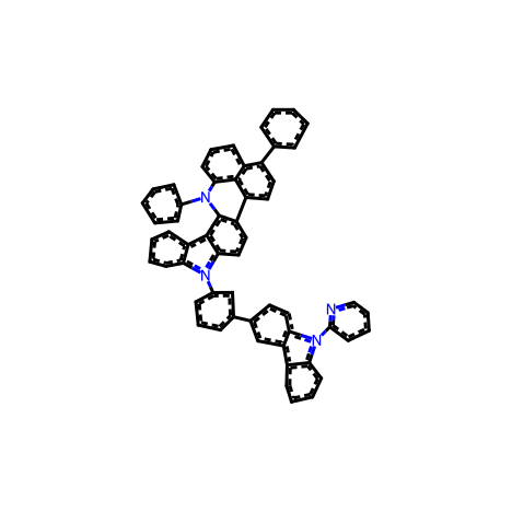 c1ccc(-c2ccc3c4c(cccc24)N(c2ccccc2)c2c-3ccc3c2c2ccccc2n3-c2cccc(-c3ccc4c(c3)c3ccccc3n4-c3ccccn3)c2)cc1